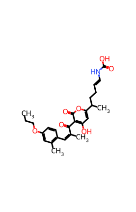 CCCOc1ccc(C=C(C)C(=O)c2c(O)cc(C(C)CCC=CNC(=O)O)oc2=O)c(C)c1